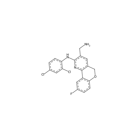 NCc1cc2c(nc1Nc1ccc(Cl)cc1Cl)-c1cc(F)ccc1OC2